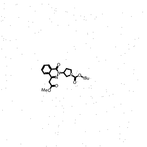 COC(=O)Cc1nn(C2CCN(C(=O)OC(C)(C)C)C2)c(=O)c2ccccc12